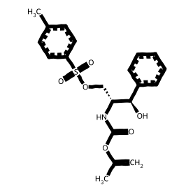 C=C(C)OC(=O)N[C@H](COS(=O)(=O)c1ccc(C)cc1)[C@H](O)c1ccccc1